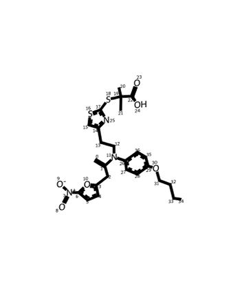 C=C(Cc1ccc([N+](=O)[O-])o1)N(CCc1csc(SC(C)(C)C(=O)O)n1)c1ccc(OCCCC)cc1